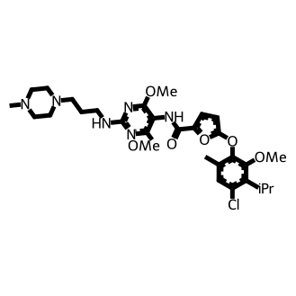 COc1nc(NCCCN2CCN(C)CC2)nc(OC)c1NC(=O)c1ccc(Oc2c(C)cc(Cl)c(C(C)C)c2OC)o1